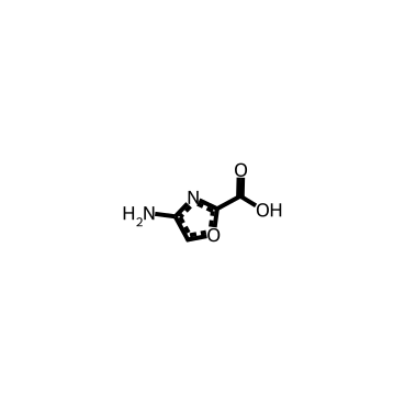 Nc1coc(C(=O)O)n1